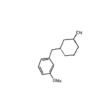 COc1cccc(CC2CCCC(C#N)C2)c1